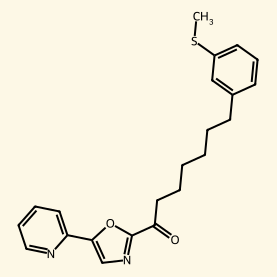 CSc1cccc(CCCCCCC(=O)c2ncc(-c3ccccn3)o2)c1